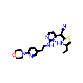 CCC1=CS/C(=C(\C#N)c2ccnc(NCCc3ccc(N4CCOCC4)nc3)n2)N1